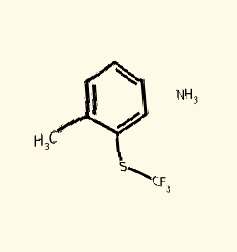 Cc1ccccc1SC(F)(F)F.N